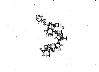 Cn1nc(COC2CCOC2)c2cccc(NC3=NNC([C@H]4CC[C@@H](OC(=O)NC5(C)CC5)C4)C3)c21